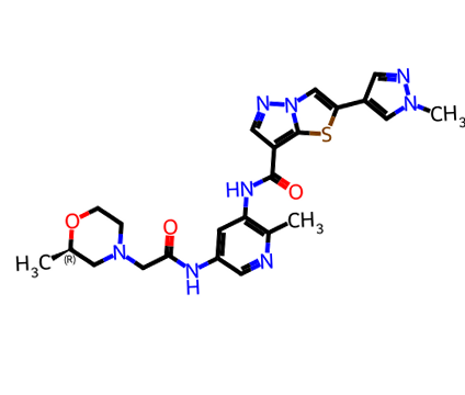 Cc1ncc(NC(=O)CN2CCO[C@H](C)C2)cc1NC(=O)c1cnn2cc(-c3cnn(C)c3)sc12